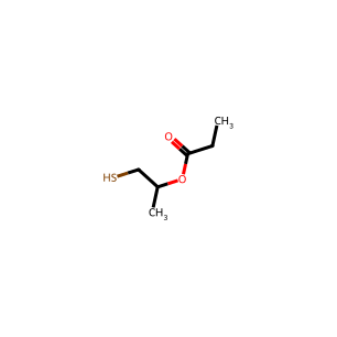 CCC(=O)OC(C)CS